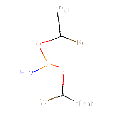 CCCCCC(Br)OP(N)OC(Br)CCCCC